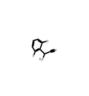 CC(C#N)c1c(F)cccc1Cl